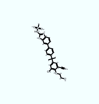 CC(C)(c1ccc(-c2ccc3nc(NS(C)(=O)=O)oc3c2)cc1)c1cc(Cl)c(OCCCl)c(C#N)c1